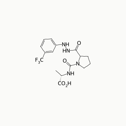 C[C@H](NC(=O)N1CCCC1C(=O)NNc1cccc(C(F)(F)F)c1)C(=O)O